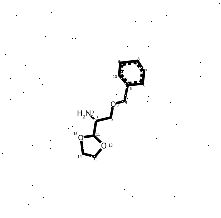 N[C@@H](COCc1ccccc1)C1OCCO1